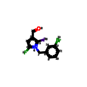 O=Cc1cc(F)n(Cc2cccc(Br)c2)c1I